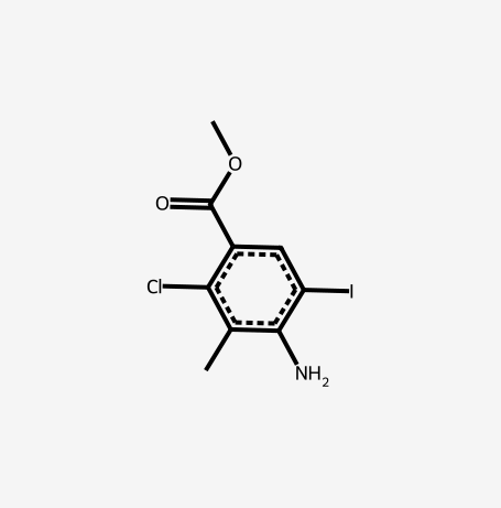 COC(=O)c1cc(I)c(N)c(C)c1Cl